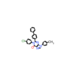 Cc1ccc(-n2cnc3c(=O)n(-c4ccc(Cl)cc4)c(-c4ccc(-c5ccccc5)cc4)nc32)cc1